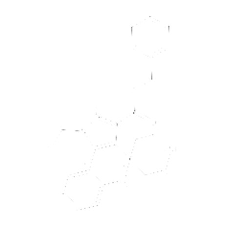 CC(C)n1nc(C(=O)OCc2ccccc2)c2c1-c1ccccc1OC21CCNCC1